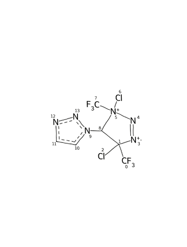 FC(F)(F)C1(Cl)[N+]=N[N+](Cl)(C(F)(F)F)C1n1ccnn1